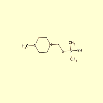 CN1CCN(CSS(C)(C)S)CC1